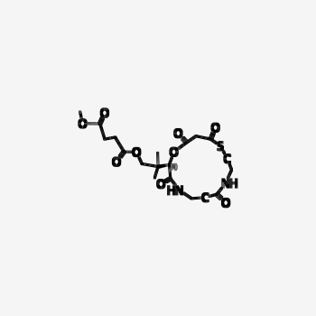 COC(=O)CCC(=O)OCC(C)(C)[C@H]1OC(=O)CC(=O)SCCNC(=O)CCNC1=O